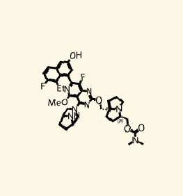 CCc1c(F)ccc2cc(O)cc(-c3nc(OC)c4c(N5CC6CCC(C5)N6)nc(OC[C@]56CCCN5[C@@H](COC(=O)N(C)C)CC6)nc4c3F)c12